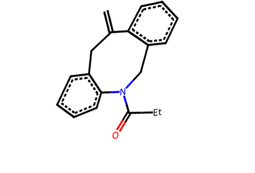 C=C1Cc2ccccc2N(C(=O)CC)Cc2ccccc21